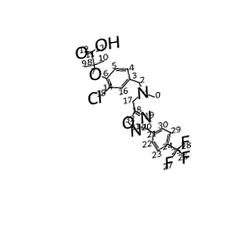 CN(Cc1ccc(OC(C)(C)C(=O)O)c(Cl)c1)Cc1nc(-c2ccc(C(F)(F)F)cc2)no1